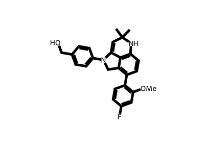 COc1cc(F)ccc1-c1ccc2c3c1CN(c1ccc(CO)cc1)C3=CC(C)(C)N2